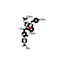 COCC(C)Oc1nc(N(Cc2ccc(OC)cc2)Cc2ccc(OC)cc2)c2ncc(C(O)c3cnc(N4CCN(C(=O)OC(C)(C)C)CC4)c(C)c3)n2n1